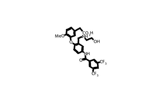 COc1ccc(CC(=O)O)cc1Oc1ccc(NC(=O)c2cc(C(F)(F)F)cc(C(F)(F)F)c2)cc1CNCCO